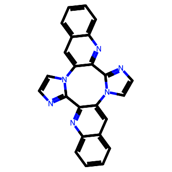 c1ccc2nc3c(cc2c1)n1ccnc1c1nc2ccccc2cc1n1ccnc31